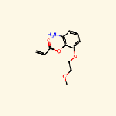 C=CC(=O)Oc1c(N)cccc1OCCOC